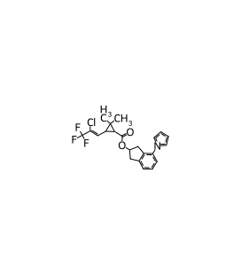 CC1(C)C(/C=C(\Cl)C(F)(F)F)C1C(=O)OC1Cc2cccc(-n3cccc3)c2C1